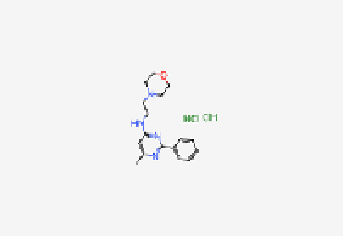 Cc1cc(NCCN2CCOCC2)nc(-c2ccccc2)n1.Cl.Cl